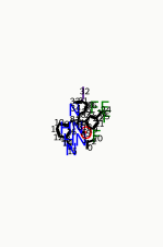 CC(C)NC(=O)N[C@](Cc1cccc(C#N)c1)(c1cc(F)cc(C(F)(F)F)c1)c1ccc(I)cn1